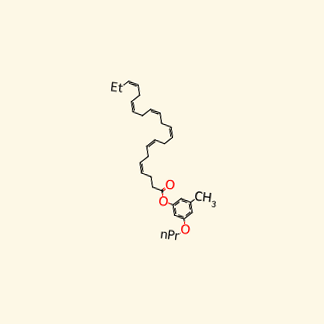 CC/C=C\C/C=C\C/C=C\C/C=C\C/C=C\C/C=C\CCC(=O)Oc1cc(C)cc(OCCC)c1